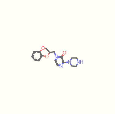 O=c1c(N2CCNCC2)nccn1CC1COc2ccccc2O1